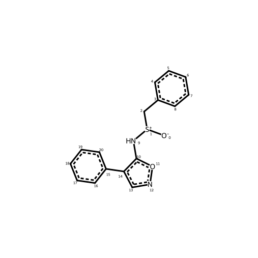 [O-][S+](Cc1ccccc1)Nc1oncc1-c1ccccc1